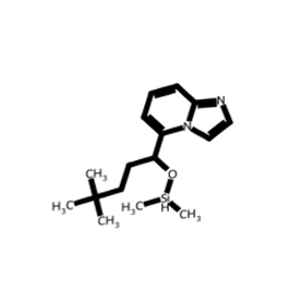 C[SiH](C)OC(CCC(C)(C)C)c1cccc2nccn12